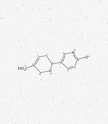 CCOC(=O)C1=CCC(c2ccc(Cl)nc2)OC1